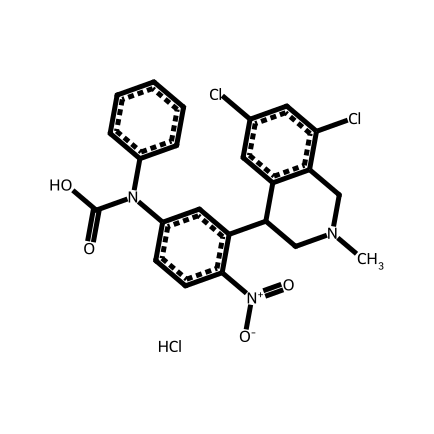 CN1Cc2c(Cl)cc(Cl)cc2C(c2cc(N(C(=O)O)c3ccccc3)ccc2[N+](=O)[O-])C1.Cl